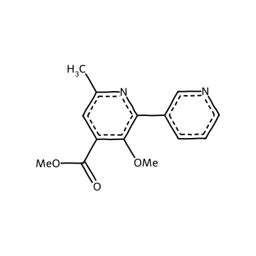 COC(=O)c1cc(C)nc(-c2cccnc2)c1OC